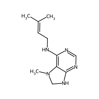 CC(C)=CCNc1ncnc2c1N(C)CN2